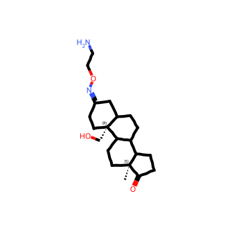 C[C@]12CCC3C(CCC4CC(=NOCCN)CC[C@@]43CO)C1CCC2=O